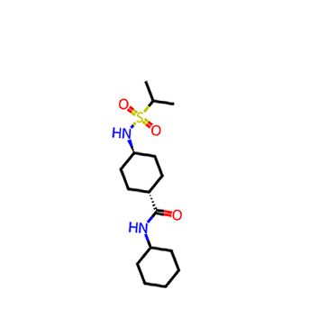 CC(C)S(=O)(=O)N[C@H]1CC[C@H](C(=O)NC2CCCCC2)CC1